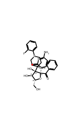 COC1([C@@]2(O)[C@H](O)[C@@H](CO)O[C@@]2(C(=O)c2ccccc2)n2ccc(N)nc2=O)CCN(c2ccccc2F)CC1